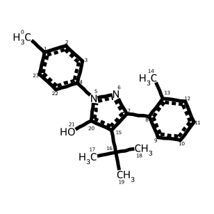 Cc1ccc(-n2nc(-c3ccccc3C)c(C(C)(C)C)c2O)cc1